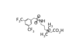 C[N+](C)(CCCNS(=O)(=O)Cc1cc(C(F)(F)F)cc(C(F)(F)F)c1)CC(=O)O